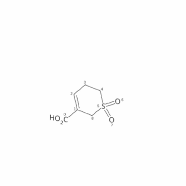 O=C(O)C1=CCCS(=O)(=O)C1